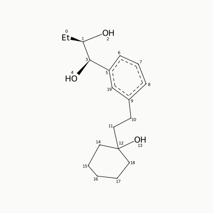 CC[C@@H](O)[C@H](O)c1cccc(CCC2(O)CCCCC2)c1